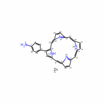 Nc1ccc(-c2cc3cc4nc(cc5ccc(cc6nc(cc2[nH]3)C=C6)[nH]5)C=C4)cc1.[Zn]